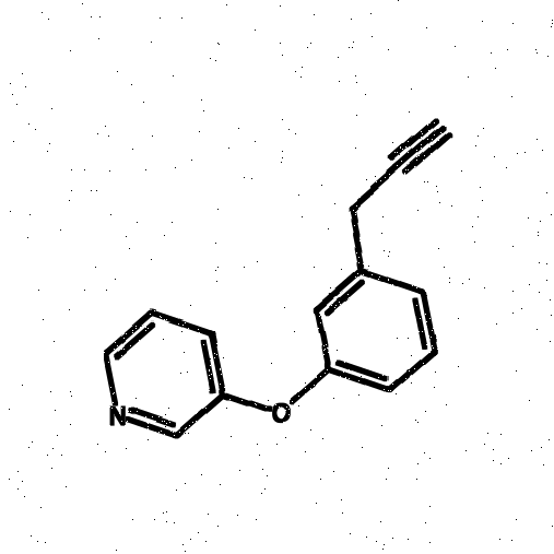 C#CCc1cccc(Oc2cccnc2)c1